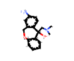 CN(C)CC1(O)c2ccc(N)cc2COc2ccccc21